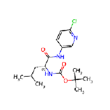 CC(C)C[C@@H](NC(=O)OC(C)(C)C)C(=O)Nc1ccc(Cl)nc1